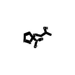 CC(O)CNC1([N+](=O)[O-])C=CN=N1